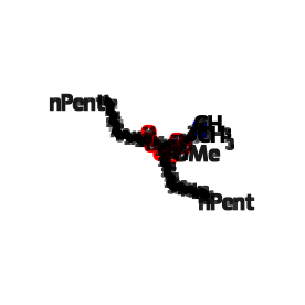 CCCCC/C=C\CCCC/C=C\CCCCC(=O)OC[C@H](COP(=O)(OC)OCCCN(C)C)OC(=O)CCCC/C=C\CCCC/C=C\CCCCC